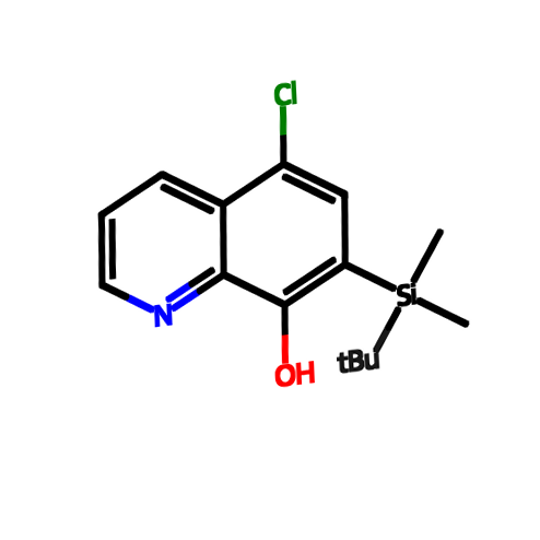 CC(C)(C)[Si](C)(C)c1cc(Cl)c2cccnc2c1O